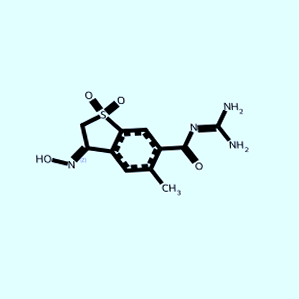 Cc1cc2c(cc1C(=O)N=C(N)N)S(=O)(=O)C/C2=N\O